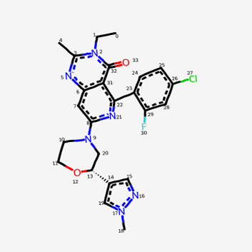 CCn1c(C)nc2cc(N3CCO[C@@H](c4cnn(C)c4)C3)nc(-c3ccc(Cl)cc3F)c2c1=O